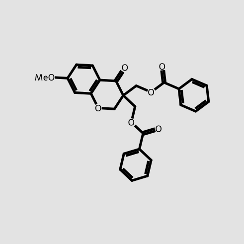 COc1ccc2c(c1)OCC(COC(=O)c1ccccc1)(COC(=O)c1ccccc1)C2=O